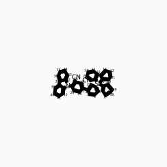 N#Cc1c(-c2cccc([Si](c3ccccc3)(c3ccccc3)c3ccccc3)c2)ccc(-n2c3ccccc3c3ccccc32)c1C#N